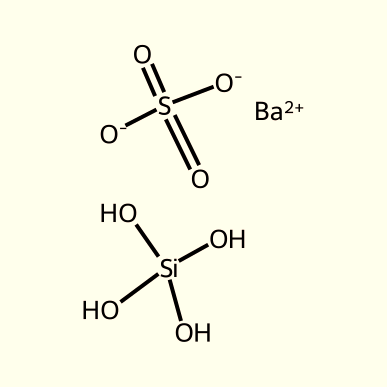 O=S(=O)([O-])[O-].O[Si](O)(O)O.[Ba+2]